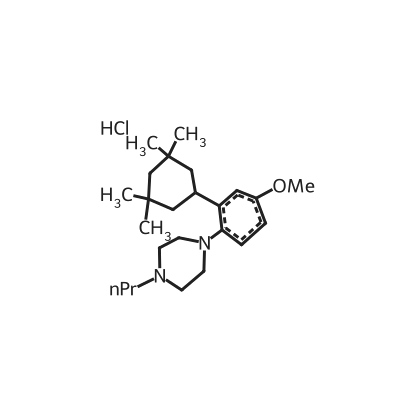 CCCN1CCN(c2ccc(OC)cc2C2CC(C)(C)CC(C)(C)C2)CC1.Cl